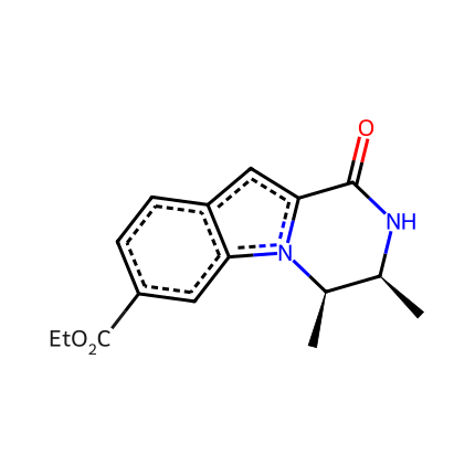 CCOC(=O)c1ccc2cc3n(c2c1)[C@H](C)[C@H](C)NC3=O